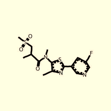 Cc1nc(-c2cncc(F)c2)sc1N(C)C(=O)C(C)CS(C)(=O)=O